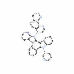 c1cncc(-n2c3ccccc3c3c2c2ccccc2c2c4cccnc4n(-c4ccnc5c4ccc4cccnc45)c23)c1